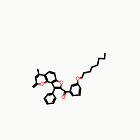 C=C1C=C(C)c2ccc3oc(C(=O)c4cccc(OCCCCCCCC)c4)c(-c4ccccc4)c3c2O1